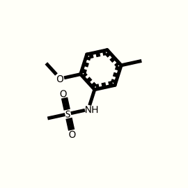 COc1ccc(C)cc1NS(C)(=O)=O